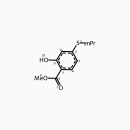 CCCSc1ccc(C(=O)OC)c(O)c1